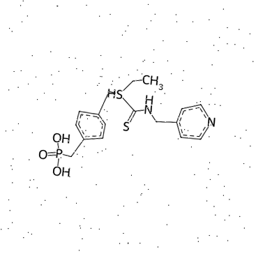 CC[SH](Cc1ccc(CP(=O)(O)O)cc1)C(=S)NCc1ccncc1